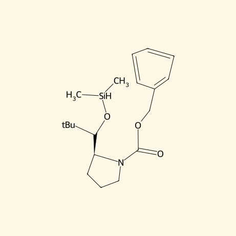 C[SiH](C)OC([C@@H]1CCCN1C(=O)OCc1ccccc1)C(C)(C)C